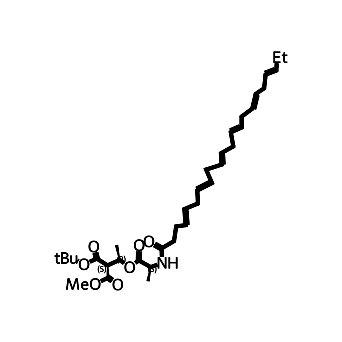 CCC=CCC=CCC=CCC=CCC=CCC=CCCC(=O)N[C@@H](C)C(=O)O[C@H](C)[C@@H](C(=O)OC)C(=O)OC(C)(C)C